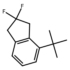 CC(C)(C)c1cccc2c1CC(F)(F)C2